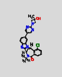 [2H]C([2H])([2H])N1C(=O)c2cccc(Cl)c2[C@H]2C[C@@H]1c1nc3ccc(-c4cnc(N5CC(C)(O)C5)nc4)cc3n12